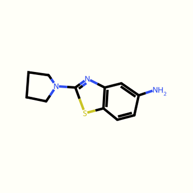 Nc1ccc2sc(N3CCCC3)nc2c1